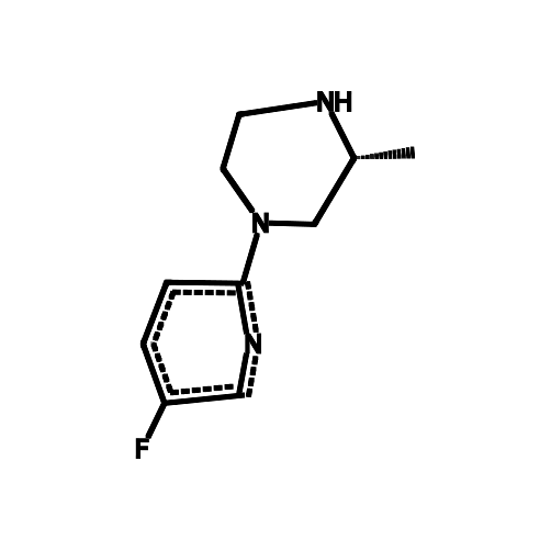 C[C@@H]1CN(c2ccc(F)cn2)CCN1